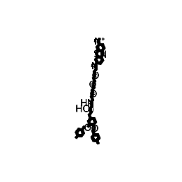 Cc1ccc(COc2ccc(CC[C@H](O)CNCCOCCOCCOCCN(C)c3ccc4nc5ccc(=[N+](C)C)cc-5sc4c3)cc2OCc2ccc(C)cc2)cc1